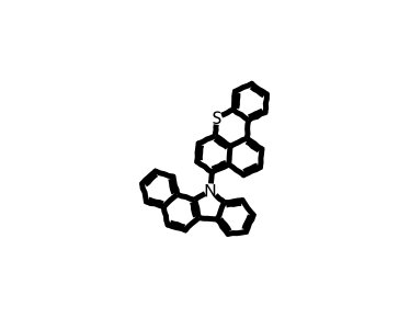 c1ccc2c(c1)Sc1ccc(-n3c4ccccc4c4ccc5ccccc5c43)c3cccc-2c13